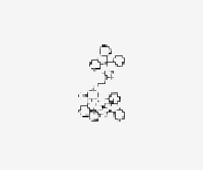 CC(C)(C)[Si](Oc1ccc2cccc(N3CCN(CCc4cn(C(c5ccccc5)(c5ccccc5)c5ccccc5)cn4)CC3=O)c2c1)(c1ccccc1)c1ccccc1